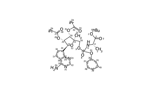 CCCCOC(=O)[C@H](C)NP(=O)(OC[C@@]1(C)O[C@@H](c2ccc3c(N)ncnn23)[C@H](OC(=O)C(C)C)[C@@H]1OC(=O)C(C)C)Oc1ccccc1